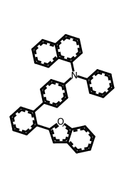 c1ccc(N(c2ccc(-c3ccccc3-c3cc4ccccc4o3)cc2)c2cccc3ccccc23)cc1